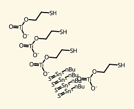 CCC[CH2][Sn+]=[S].CCC[CH2][Sn+]=[S].CCC[CH2][Sn+]=[S].CCC[CH2][Sn+]=[S].[O]=[Ti]([O-])[O]CCS.[O]=[Ti]([O-])[O]CCS.[O]=[Ti]([O-])[O]CCS.[O]=[Ti]([O-])[O]CCS